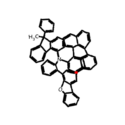 CC1(c2ccccc2)c2ccccc2-c2c(N(c3ccccc3-c3cccc4c3oc3ccccc34)c3ccccc3-c3cccc4cccc(-c5ccccc5)c34)cccc21